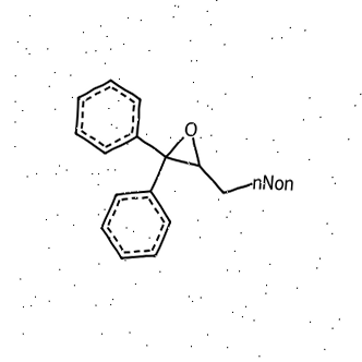 CCCCCCCCCCC1OC1(c1ccccc1)c1ccccc1